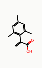 C=C(C(=O)O)c1c(C)cc(C)cc1C